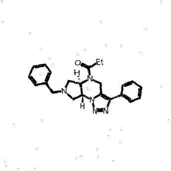 CCC(=O)N1Cc2c(-c3ccccc3)nnn2[C@@H]2CN(Cc3ccccc3)C[C@H]21